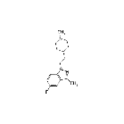 Cc1nn(CCC2CCN(C)CC2)c2ccc(F)cc12